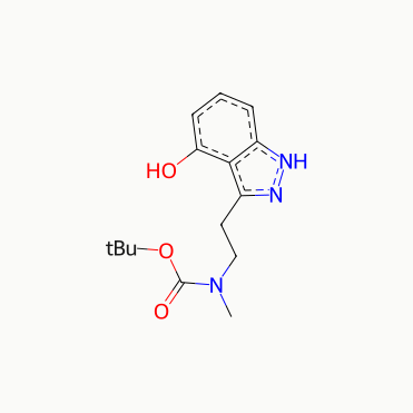 CN(CCc1n[nH]c2cccc(O)c12)C(=O)OC(C)(C)C